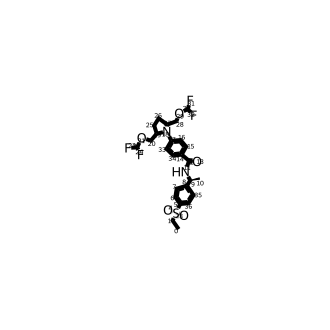 CCS(=O)(=O)c1ccc([C@H](C)NC(=O)c2ccc(N3C(COC(F)F)CCC3COC(F)F)cc2)cc1